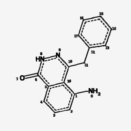 Nc1cccc2c(=O)[nH]nc(Cc3ccccc3)c12